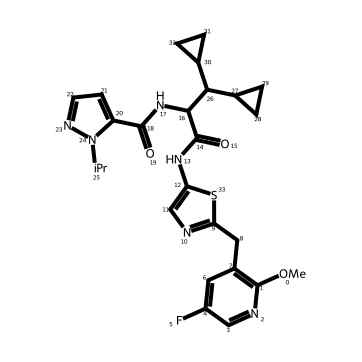 COc1ncc(F)cc1Cc1ncc(NC(=O)C(NC(=O)c2ccnn2C(C)C)C(C2CC2)C2CC2)s1